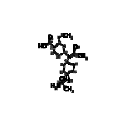 CCc1cc(N(C(C)=O)c2ccc(CC(C)(C)N)cc2)ccc1C(=O)O